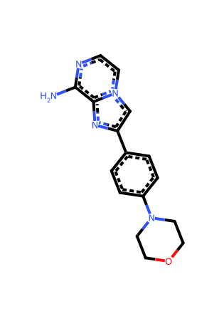 Nc1nccn2cc(-c3ccc(N4CCOCC4)cc3)nc12